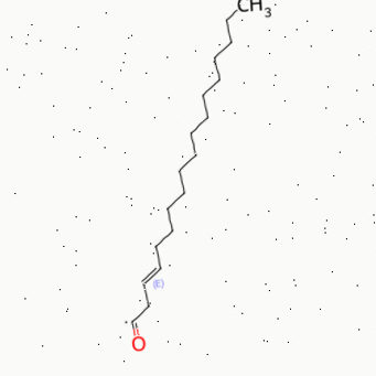 CCCCCCCCCCCCCC/C=C/C[C]=O